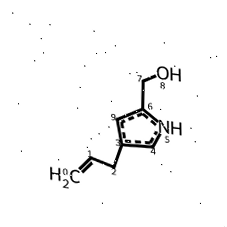 C=CCc1c[nH]c(CO)c1